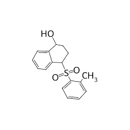 Cc1ccccc1S(=O)(=O)C1CCC(O)c2ccccc21